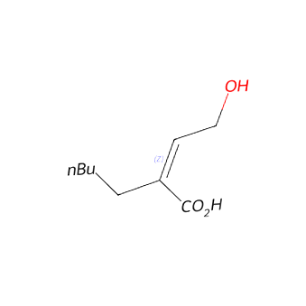 CCCCC/C(=C/CO)C(=O)O